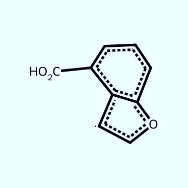 O=C(O)c1cccc2oc[c]c12